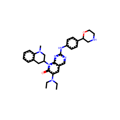 CCN(CC)c1cc2cnc(Nc3ccc(C4CNCCO4)cc3)nc2n(C2Cc3ccccc3N(C)C2)c1=O